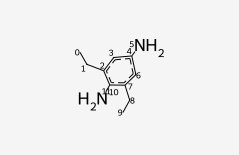 CCc1cc(N)cc(CC)c1N